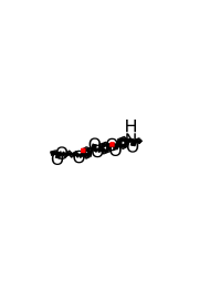 C=CC(=O)Nc1ccc(C(=O)Oc2ccc(OC(=O)c3ccc(OCCCCOC(=O)C=C)cc3)cc2)cc1